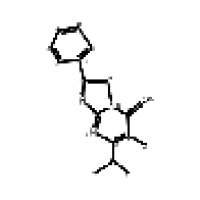 Cc1c(C(C)C)nc2[nH]c(-c3ccccc3)cn2c1=O